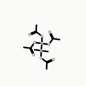 CC(=O)O[Si](C)(C)[Si](OC(C)=O)(OC(C)=O)OC(C)=O